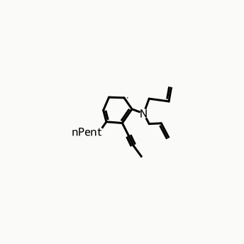 C=CCN(CC=C)C1=C(C#CC)C(CCCCC)=CC[CH]1